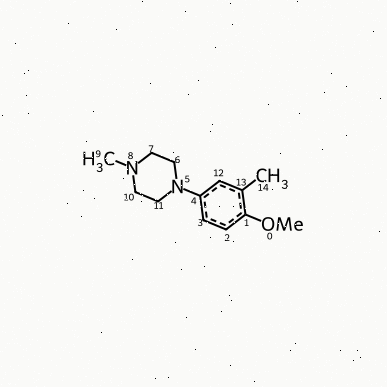 COc1ccc(N2CCN(C)CC2)cc1C